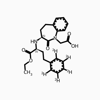 [2H]c1c([2H])c([2H])c(CC[C@H](N[C@H]2CCc3ccccc3N(CC(=O)O)C2=O)C(=O)OCC)c([2H])c1[2H]